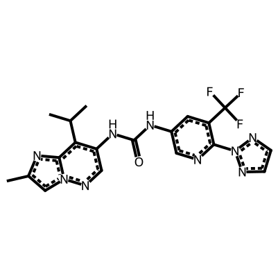 Cc1cn2ncc(NC(=O)Nc3cnc(-n4nccn4)c(C(F)(F)F)c3)c(C(C)C)c2n1